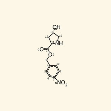 O=C(OCc1ccc([N+](=O)[O-])cc1)C1C[C@H](O)CN1